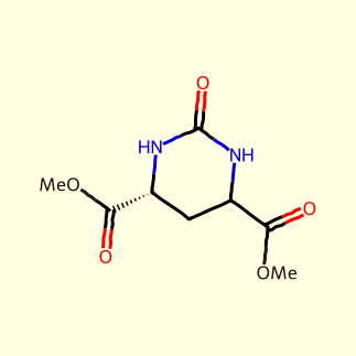 COC(=O)C1C[C@H](C(=O)OC)NC(=O)N1